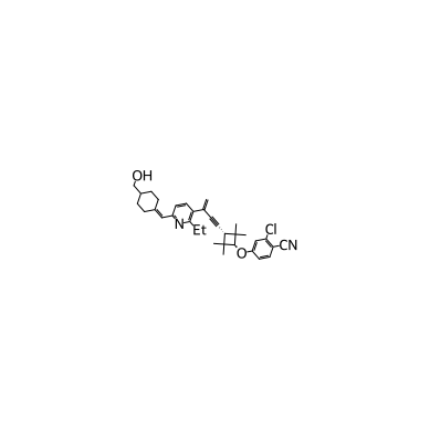 C=C(C#C[C@H]1C(C)(C)[C@H](Oc2ccc(C#N)c(Cl)c2)C1(C)C)c1ccc(C=C2CCC(CO)CC2)nc1CC